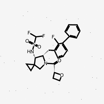 O=C([C@H]1CCO1)N1CC2(CC2)[C@H](NS(=O)(=O)C(F)F)[C@@H]1Cc1cccc(-c2ccccc2)c1F